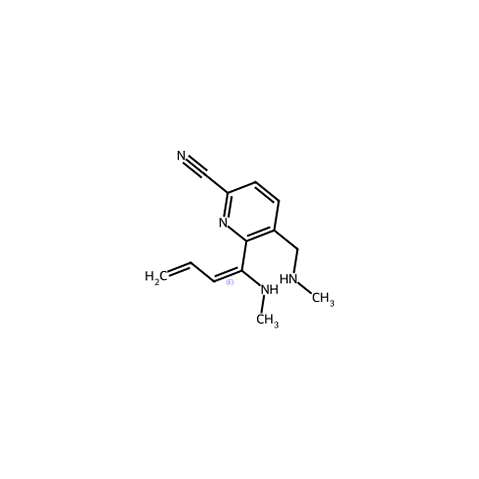 C=C/C=C(/NC)c1nc(C#N)ccc1CNC